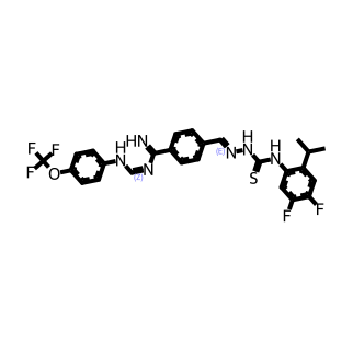 CC(C)c1cc(F)c(F)cc1NC(=S)N/N=C/c1ccc(C(=N)/N=C\Nc2ccc(OC(F)(F)F)cc2)cc1